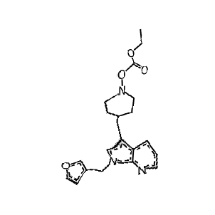 CCOC(=O)ON1CCC(c2cn(Cc3ccoc3)c3ncccc23)CC1